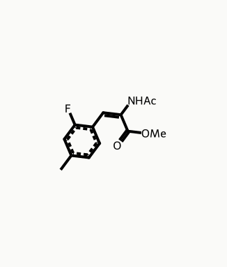 COC(=O)C(=Cc1ccc(C)cc1F)NC(C)=O